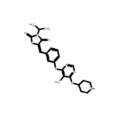 Cc1c(Oc2cccc(C=C3SC(=O)N(C(C)C)C3=O)c2)ncnc1OC1CCNCC1